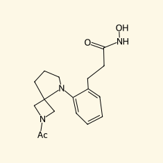 CC(=O)N1CC2(CCCN2c2ccccc2CCC(=O)NO)C1